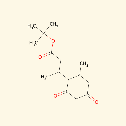 CC1CC(=O)CC(=O)C1C(C)CC(=O)OC(C)(C)C